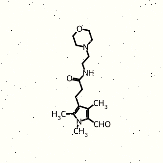 Cc1c(CCC(=O)NCCN2CCOCC2)c(C)n(C)c1C=O